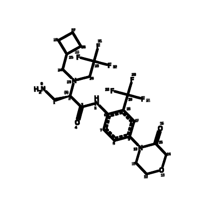 NC[C@H](C(=O)Nc1ccc(N2CCOCC2=O)cc1C(F)(F)F)N(CC1CCC1)CC(F)(F)F